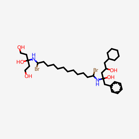 OCCC(O)(CCO)NC(Br)CCCCCCCCCCC(Br)NC(O)(Cc1ccccc1)CC(O)CC1CCCCC1